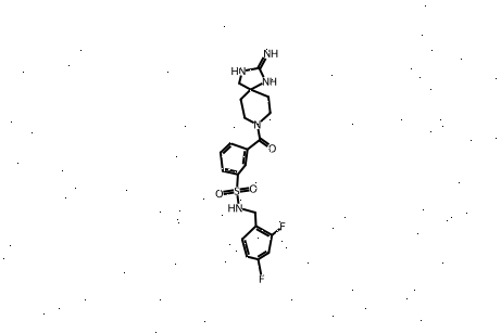 N=C1NCC2(CCN(C(=O)c3cccc(S(=O)(=O)NCc4ccc(F)cc4F)c3)CC2)N1